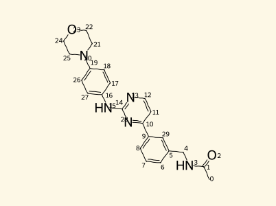 CC(=O)NCc1cccc(-c2ccnc(Nc3ccc(N4CCOCC4)cc3)n2)c1